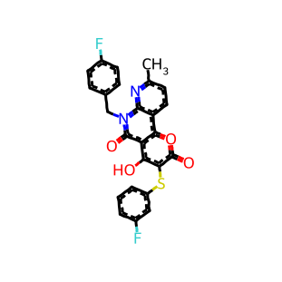 Cc1ccc2c3oc(=O)c(Sc4cccc(F)c4)c(O)c3c(=O)n(Cc3ccc(F)cc3)c2n1